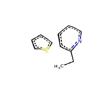 CCc1ccccn1.c1ccsc1